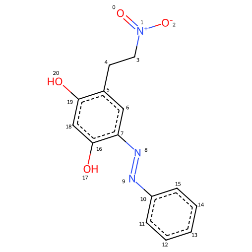 O=[N+]([O-])CCc1cc(N=Nc2ccccc2)c(O)cc1O